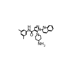 Cc1cc(C)cc(NC(=O)c2cnn(-c3ccc4ccccc4n3)c2N2CCC(N)CC2)c1